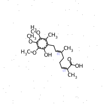 COc1c(C)c(C/C=C(\C)CC/C=C(/C)C(=O)O)c(O)c(OC)c1OC